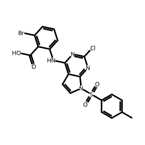 Cc1ccc(S(=O)(=O)n2ccc3c(Nc4cccc(Br)c4C(=O)O)nc(Cl)nc32)cc1